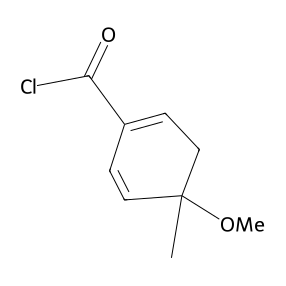 COC1(C)C=CC(C(=O)Cl)=CC1